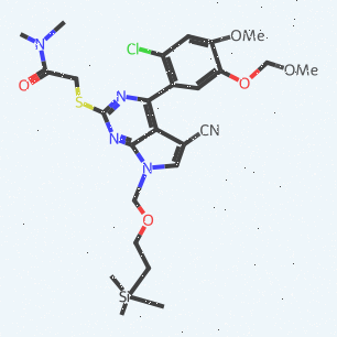 COCOc1cc(-c2nc(SCC(=O)N(C)C)nc3c2c(C#N)cn3COCC[Si](C)(C)C)c(Cl)cc1OC